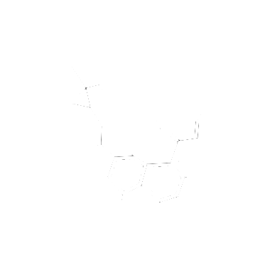 CC1(C)OC1CCc1ccc2cccc(C(=O)C=O)c2c1